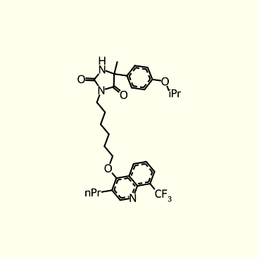 CCCc1cnc2c(C(F)(F)F)cccc2c1OCCCCCCN1C(=O)NC(C)(c2ccc(OC(C)C)cc2)C1=O